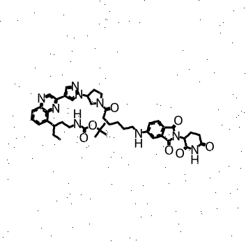 CCC(CCNC(=O)OC(C)(C)C)c1cccc2ncc(-c3cnn(C4CCN(C(=O)CCCCCNc5ccc6c(c5)C(=O)N(C5CCC(=O)NC5=O)C6=O)C4)c3)nc12